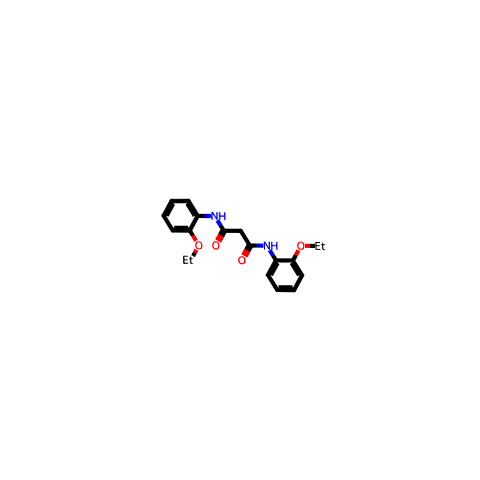 CCOc1ccccc1NC(=O)CC(=O)Nc1ccccc1OCC